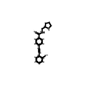 O=C(NCC1CCCO1)c1ccc(C#Cc2ccccc2F)cc1